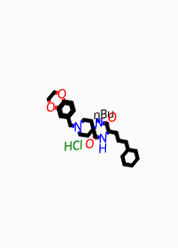 CCCCN1C(=O)C(CCCC2CCCCC2)NC(=O)C12CCN(Cc1ccc3c(c1)OCCO3)CC2.Cl